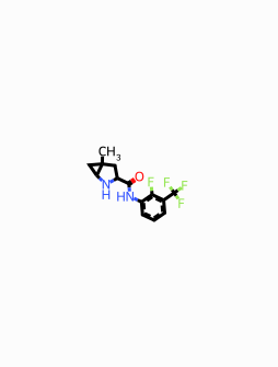 CC12CC(C(=O)Nc3cccc(C(F)(F)F)c3F)NC1C2